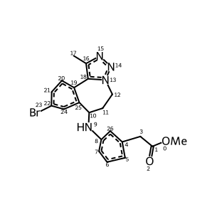 COC(=O)Cc1cccc(NC2CCn3nnc(C)c3-c3ccc(Br)cc32)c1